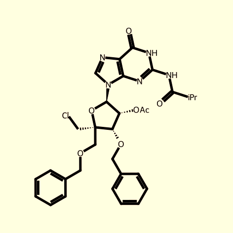 CC(=O)O[C@H]1[C@H](n2cnc3c(=O)[nH]c(NC(=O)C(C)C)nc32)O[C@](CCl)(COCc2ccccc2)[C@H]1OCc1ccccc1